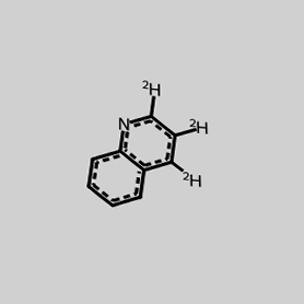 [2H]c1nc2ccccc2c([2H])c1[2H]